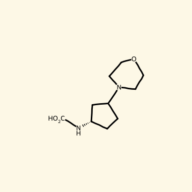 O=C(O)N[C@H]1CCC(N2CCOCC2)C1